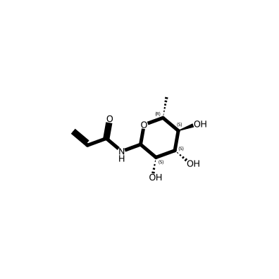 C=CC(=O)NC1O[C@H](C)[C@@H](O)[C@H](O)[C@@H]1O